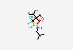 CC(C)CNS(=O)(=O)C(F)(F)C1(C(C)C)COC1